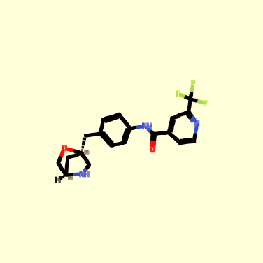 O=C(Nc1ccc(C[C@@]23CN[C@@H](CO2)C3)cc1)c1ccnc(C(F)(F)F)c1